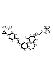 CCOC(=O)[C@H]1C[C@@H]1c1ccc(OCc2ccc3c(c2)-c2c(C)cc(OCCCS(C)(=O)=O)cc2CCC3)cc1